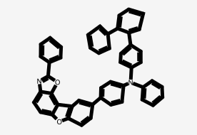 c1ccc(-c2nc3ccc4oc5ccc(-c6ccc(N(c7ccccc7)c7ccc(-c8ccccc8-c8ccccc8)cc7)cc6)cc5c4c3o2)cc1